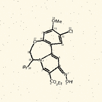 CCOC(=O)c1cn2c(c/c1=N/O)-c1cc(Cl)c(OC)cc1OCC2C(C)C